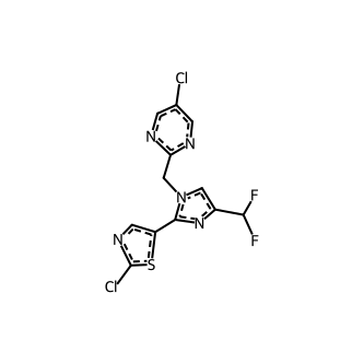 FC(F)c1cn(Cc2ncc(Cl)cn2)c(-c2cnc(Cl)s2)n1